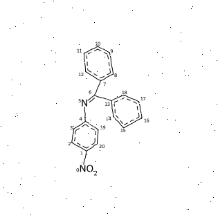 O=[N+]([O-])c1ccc(N=C(c2ccccc2)c2ccccc2)cc1